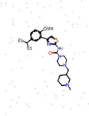 CCC(CC)c1ccc(OC)c(-c2csc(NC(=O)N3CCN(CC4CCCN(C)C4)CC3)n2)c1